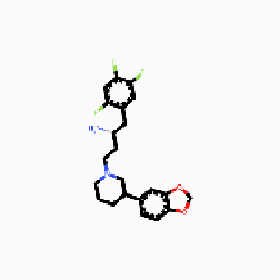 N[C@@H](CCN1CCCC(c2ccc3c(c2)OCO3)C1)Cc1cc(F)c(F)cc1F